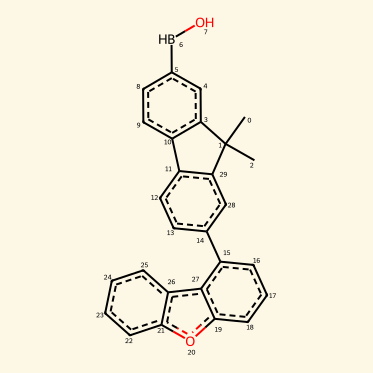 CC1(C)c2cc(BO)ccc2-c2ccc(-c3cccc4oc5ccccc5c34)cc21